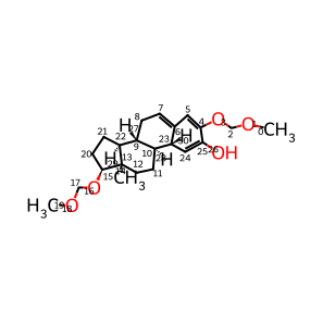 COCOC1=CC2=CC[C@@H]3[C@H](CC[C@]4(C)[C@@H](OCOC)CC[C@@H]34)[C@H]2C=C1O